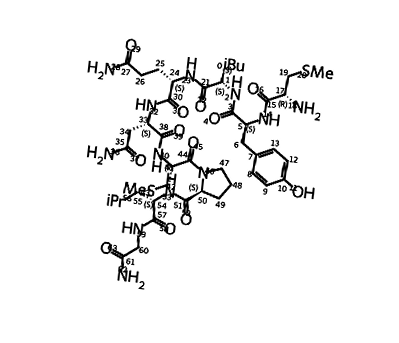 CC[C@H](C)[C@H](NC(=O)[C@H](Cc1ccc(O)cc1)NC(=O)[C@@H](N)CSC)C(=O)N[C@@H](CCC(N)=O)C(=O)N[C@@H](CC(N)=O)C(=O)N[C@@H](CSC)C(=O)N1CCC[C@H]1C(=O)N[C@@H](CC(C)C)C(=O)NCC(N)=O